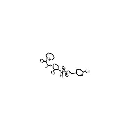 C[C@@H](C(=O)N1CCCCC1)N1CC[C@@H](NS(=O)(=O)/C=C/c2ccc(Cl)cc2)C1=O